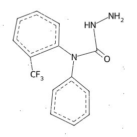 NNC(=O)N(c1ccccc1)c1ccccc1C(F)(F)F